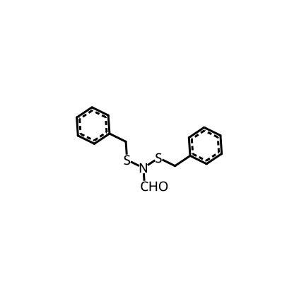 O=CN(SCc1ccccc1)SCc1ccccc1